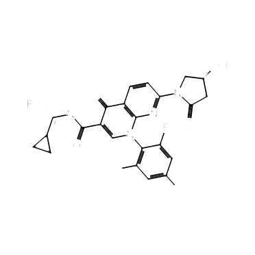 O=C(N[C@H](C1CC1)C(F)(F)F)c1cn(-c2c(F)cc(F)cc2F)c2nc(N3C[C@@H](O)CC3=O)ccc2c1=O